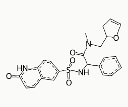 CN(CC1CC=CO1)C(=O)C(NS(=O)(=O)c1ccc2[nH]c(=O)ccc2c1)c1ccccc1